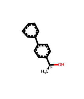 C[C@H](O)c1ccc(-c2ccccc2)cc1